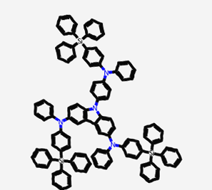 c1ccc(N(c2ccc(-n3c4ccc(N(c5ccccc5)c5ccc([Si](c6ccccc6)(c6ccccc6)c6ccccc6)cc5)cc4c4cc(N(c5ccccc5)c5ccc([Si](c6ccccc6)(c6ccccc6)c6ccccc6)cc5)ccc43)cc2)c2ccc([Si](c3ccccc3)(c3ccccc3)c3ccccc3)cc2)cc1